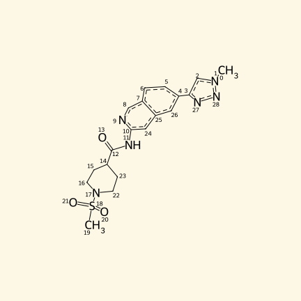 Cn1cc(-c2ccc3cnc(NC(=O)C4CCN(S(C)(=O)=O)CC4)cc3c2)nn1